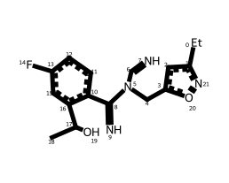 CCc1cc(CN(C=N)C(=N)c2ccc(F)cc2C(C)O)on1